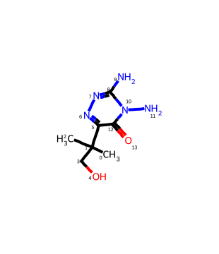 CC(C)(CO)c1nnc(N)n(N)c1=O